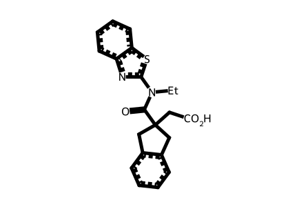 CCN(C(=O)C1(CC(=O)O)Cc2ccccc2C1)c1nc2ccccc2s1